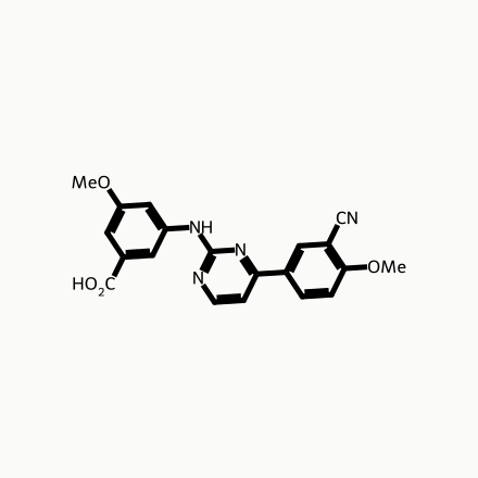 COc1cc(Nc2nccc(-c3ccc(OC)c(C#N)c3)n2)cc(C(=O)O)c1